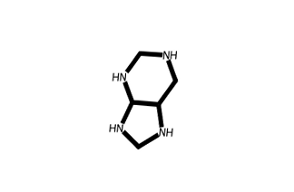 C1NCC2NCNC2N1